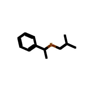 CC(C)CSC(C)c1ccccc1